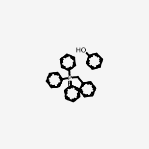 Oc1ccccc1.c1ccc(C[PH](c2ccccc2)(c2ccccc2)c2ccccc2)cc1